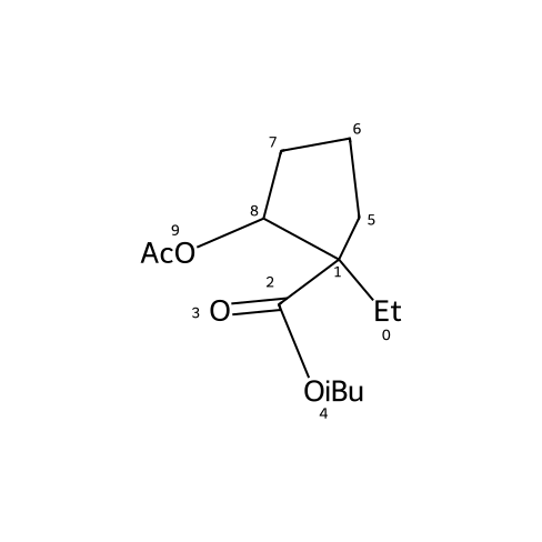 CCC1(C(=O)OCC(C)C)CCCC1OC(C)=O